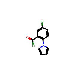 O=C(Cl)c1cc(Cl)ccc1-n1cccc1